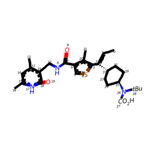 CC=C(c1scc(C(=O)NCc2c(C)cc(C)[nH]c2=O)c1C)[C@H]1CC[C@H](N(C(=O)O)C(C)(C)C)CC1